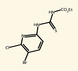 CCOC(=O)NC(=S)Nc1ccc(Br)c(Cl)n1